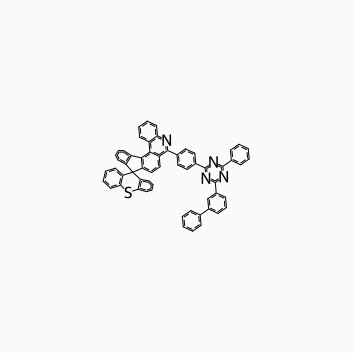 c1ccc(-c2cccc(-c3nc(-c4ccccc4)nc(-c4ccc(-c5nc6ccccc6c6c7c(ccc56)C5(c6ccccc6Sc6ccccc65)c5ccccc5-7)cc4)n3)c2)cc1